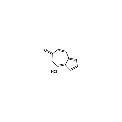 Cl.O=C1C=CC2=CC=CC2=CC1